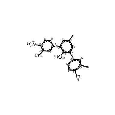 Cc1cc(-c2ccc(Cl)c(C)c2)c(O)c(-c2ccc(N)c(Cl)c2)c1